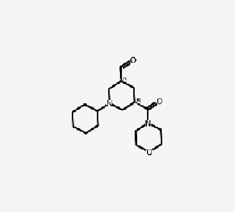 O=C[C@H]1C[C@@H](C(=O)N2CCOCC2)CN(C2CCCCC2)C1